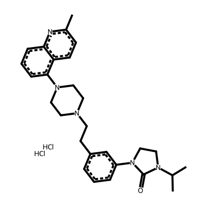 Cc1ccc2c(N3CCN(CCc4cccc(N5CCN(C(C)C)C5=O)c4)CC3)cccc2n1.Cl.Cl